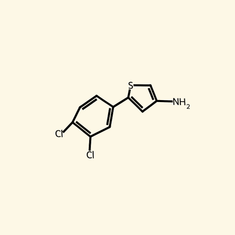 Nc1csc(-c2ccc(Cl)c(Cl)c2)c1